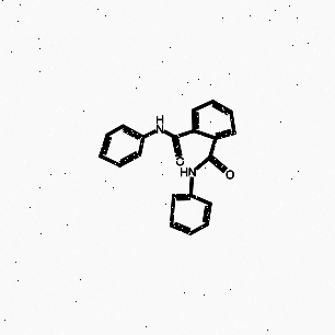 O=C(Nc1ccccc1)c1ccccc1C(=O)Nc1ccccc1